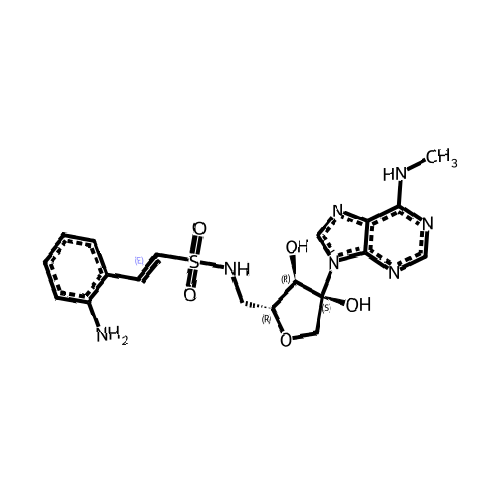 CNc1ncnc2c1ncn2[C@]1(O)CO[C@H](CNS(=O)(=O)/C=C/c2ccccc2N)[C@H]1O